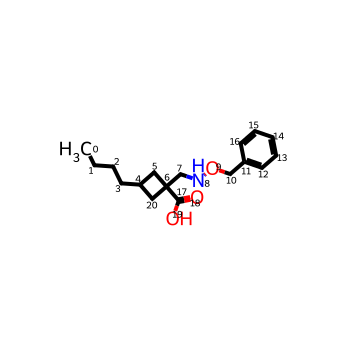 CCCCC1CC(CNOCc2ccccc2)(C(=O)O)C1